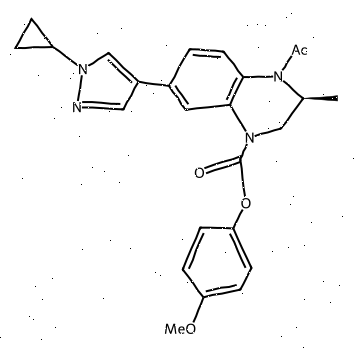 COc1ccc(OC(=O)N2C[C@H](C)N(C(C)=O)c3ccc(-c4cnn(C5CC5)c4)cc32)cc1